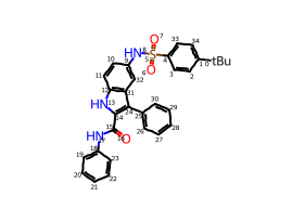 CC(C)(C)c1ccc(S(=O)(=O)Nc2ccc3[nH]c(C(=O)Nc4ccccc4)c(-c4ccccc4)c3c2)cc1